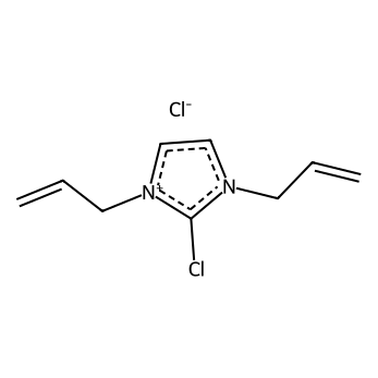 C=CCn1cc[n+](CC=C)c1Cl.[Cl-]